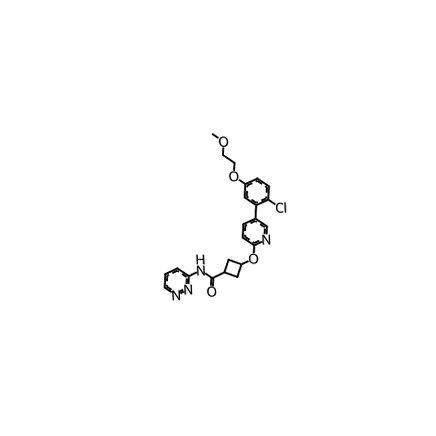 COCCOc1ccc(Cl)c(-c2ccc(OC3CC(C(=O)Nc4cccnn4)C3)nc2)c1